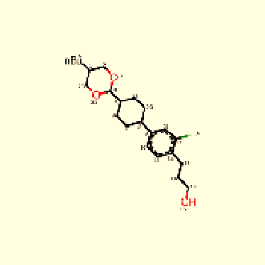 CCCCC1COC(C2CCC(c3ccc(CCCO)c(F)c3)CC2)OC1